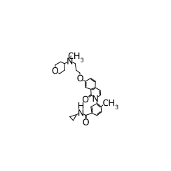 Cc1ccc(C(=O)NC2CC2)cc1-n1ccc2ccc(OCCCN(C)C3CCOCC3)cc2c1=O